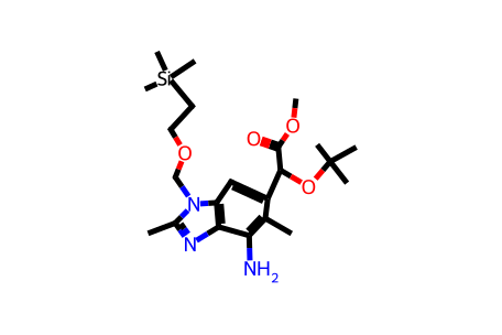 COC(=O)C(OC(C)(C)C)c1cc2c(nc(C)n2COCC[Si](C)(C)C)c(N)c1C